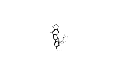 CCCCC1=C[CH]([Hf-6]([CH3])([CH3])([CH3])([CH3])(=[SiH2])(=[SiH2])[CH]2C(C)=Cc3c2cc2c(c3Br)CCC2)C=C1.[Cl-].[Cl-]